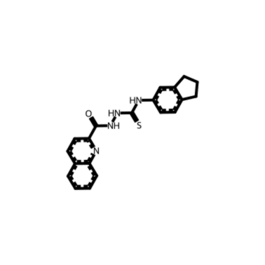 O=C(NNC(=S)Nc1ccc2c(c1)CCC2)c1ccc2ccccc2n1